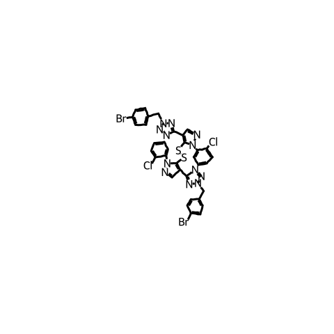 Clc1ccccc1-n1ncc(-c2nnn(Cc3ccc(Br)cc3)n2)c1SSc1c(-c2nnn(Cc3ccc(Br)cc3)n2)cnn1-c1ccccc1Cl